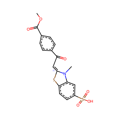 COC(=O)c1ccc(C(=O)/C=C2/Sc3ccc(S(=O)(=O)O)cc3N2C)cc1